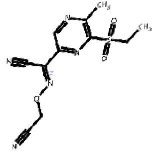 CCS(=O)(=O)c1nc(/C(C#N)=N/OCC#N)cnc1C